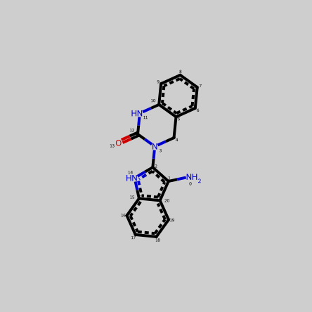 Nc1c(N2Cc3ccccc3NC2=O)[nH]c2ccccc12